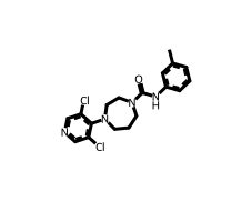 Cc1cccc(NC(=O)N2CCCN(c3c(Cl)cncc3Cl)CC2)c1